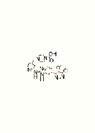 COc1c(Cl)ncnc1-c1ccc2nc(Nc3cc(CN4CCN(C(=O)O)CC4)ccn3)[nH]c2c1